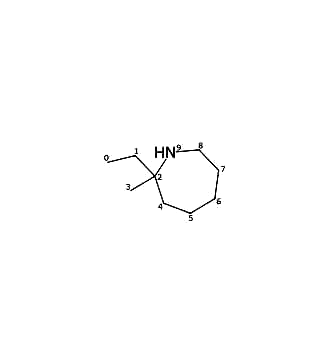 CCC1(C)CCCCCN1